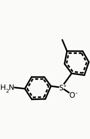 Cc1cccc([S+]([O-])c2ccc(N)cc2)c1